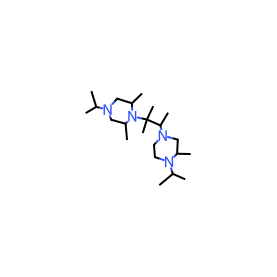 CC(C)N1CC(C)N(C(C)(C)C(C)N2CCN(C(C)C)C(C)C2)C(C)C1